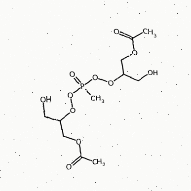 CC(=O)OCC(CO)OOP(C)(=O)OOC(CO)COC(C)=O